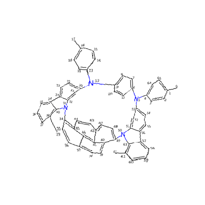 Cc1ccc(-n2c3ccc(cc3)n(-c3ccc(C)cc3)c3ccc4c5cccc(C)c5n(c4c3)c3ccc4ccc5c6c(ccc3c46)ccc5n3c4cc2ccc4c2cccc(C)c23)cc1